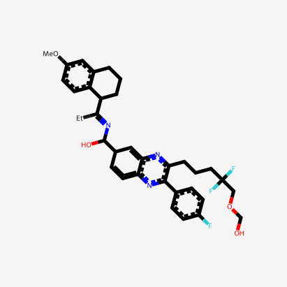 CC/C(=N\C(O)C1C=C=c2nc(-c3ccc(F)cc3)c(CCCC(F)(F)COCO)nc2=C1)C1CCCc2cc(OC)ccc21